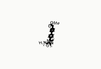 COC(=O)CC12CCC(c3ccc(-c4nc(C(N)=O)c(C)nc4C)cc3)(CC1)CC2